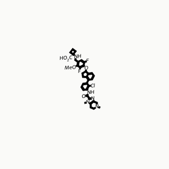 COc1c(CNC2(C(=O)O)CCC2)cc(F)c(OC2CCc3c(-c4cccc(NC(=O)c5nc6c(n5C)CCN(C)C6)c4Cl)cccc32)c1F